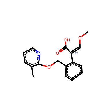 CO/C=C(\C(=O)O)c1ccccc1COc1ncccc1C